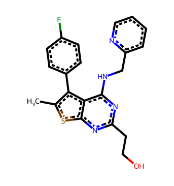 Cc1sc2nc(CCO)nc(NCc3ccccn3)c2c1-c1ccc(F)cc1